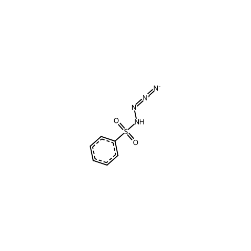 [N-]=[N+]=NNS(=O)(=O)c1ccccc1